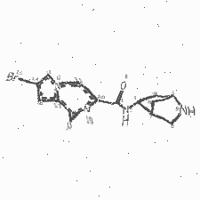 O=C(NC1CC2CC1CN2)c1cn2cc(Br)cc2cn1